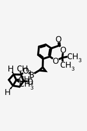 CC1(C)OC(=O)c2cccc(C3CC3B3OC4C[C@@H]5C[C@@H](C5(C)C)[C@]4(C)O3)c2O1